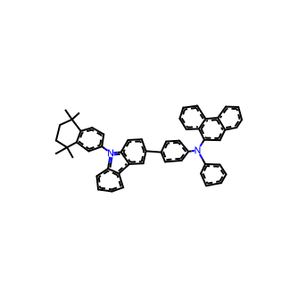 CC1(C)CCC(C)(C)c2cc(-n3c4ccccc4c4cc(-c5ccc(N(c6ccccc6)c6cc7ccccc7c7ccccc67)cc5)ccc43)ccc21